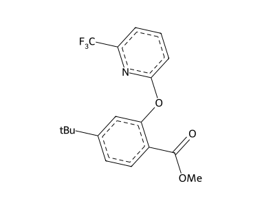 COC(=O)c1ccc(C(C)(C)C)cc1Oc1cccc(C(F)(F)F)n1